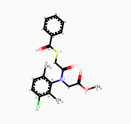 COC(=O)CN(C(=O)CSC(=O)c1ccccc1)c1c(C)ccc(Cl)c1C